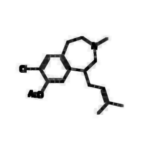 CC(=O)Oc1cc2c(cc1Cl)CCN(C)CC2CC=C(C)C